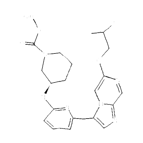 CC(C)(C)OC(=O)N1CCC[C@@H](Nc2cccc(-c3cnc4cnc(OCC(F)F)cn34)n2)C1